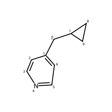 [CH](c1ccncc1)C1CC1